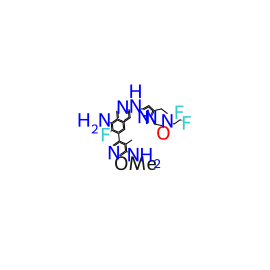 COc1ncc(-c2cc3cc(Nc4cc5n(n4)CC(=O)N(CC(F)F)CC5)ncc3c(N)c2F)c(C)c1N